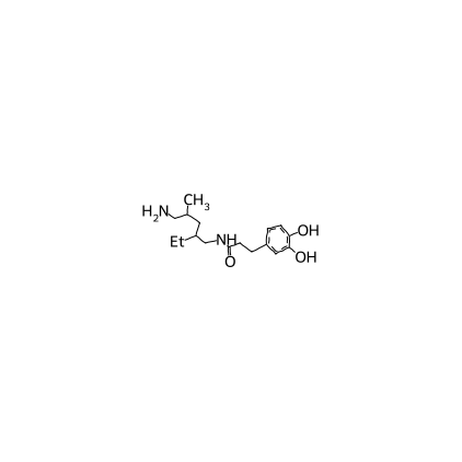 CCC(CNC(=O)CCc1ccc(O)c(O)c1)CC(C)CN